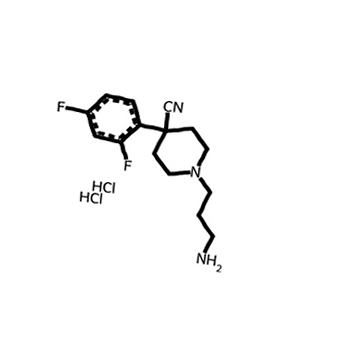 Cl.Cl.N#CC1(c2ccc(F)cc2F)CCN(CCCN)CC1